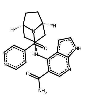 NC(=O)c1cnc2[nH]ccc2c1N[C@@H]1C[C@H]2CC[C@@H](C1)N2C(=O)c1ccncc1